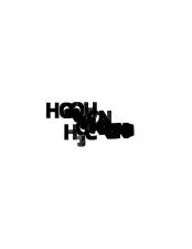 C/C(=C(/C#N)C(=O)CCC(O)CO)c1ccc2cc(N3CCCC3)ccc2c1